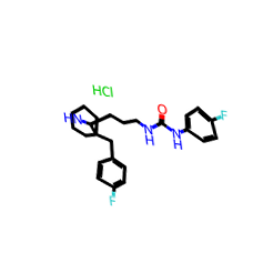 Cl.O=C(NCCCC1NC2CCC1(Cc1ccc(F)cc1)CC2)Nc1ccc(F)cc1